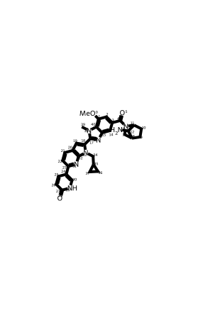 COc1cc(C(=O)N2CC3CCC2C3N)cc2nc(-c3cc4ccc(-c5ccc(=O)[nH]c5)nc4n3CC3CC3)n(C)c12